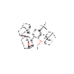 CC(Oc1c(C23CC4CC(CC(C4)C2)C3)c(C(C)(C)C)cc(C23CC4CC(CC(C4)C2)C3)c1C12CC3CC(CC(C3)C1)C2)C1CO1